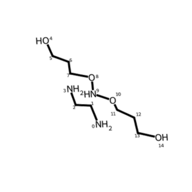 NCCN.OCCCONOCCCO